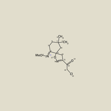 CO/N=C1\CCC(C)(C)CC12CC(C(=O)CCl)=NO2